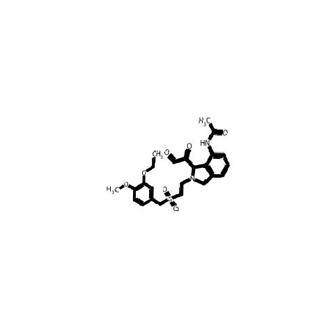 CCOc1cc(CS(=O)(=O)CCN2Cc3cccc(NC(C)=O)c3C2C(=O)C=O)ccc1OC